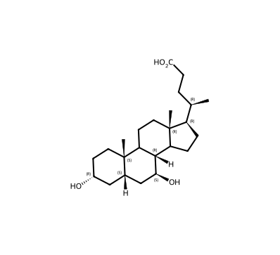 C[C@H](CCC(=O)O)[C@H]1CCC2[C@H]3C(CC[C@@]21C)[C@@]1(C)CC[C@@H](O)C[C@H]1C[C@@H]3O